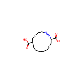 O=C(O)C1CCCCCCCC(C(=O)O)N=NCCCC1